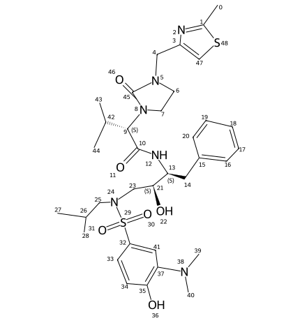 Cc1nc(CN2CCN([C@H](C(=O)N[C@@H](Cc3ccccc3)[C@@H](O)CN(CC(C)C)S(=O)(=O)c3ccc(O)c(N(C)C)c3)C(C)C)C2=O)cs1